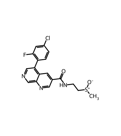 C[S+]([O-])CCNC(=O)c1cnc2cncc(-c3ccc(Cl)cc3F)c2c1